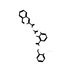 COc1ccccc1CNC(=O)c1cccc2nc(NC(=O)c3cc4ccccc4cn3)[nH]c12